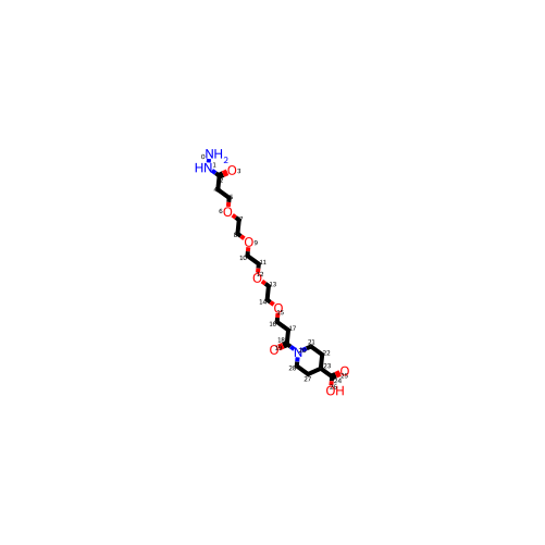 NNC(=O)CCOCCOCCOCCOCCC(=O)N1CCC(C(=O)O)CC1